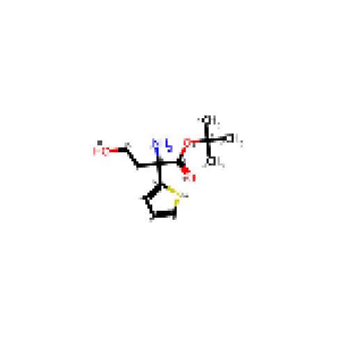 CC(C)(C)OC(=O)C(N)(CCO)c1cccs1